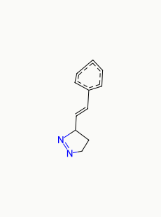 C(=CC1CCN=N1)c1ccccc1